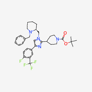 CC(C)(C)OC(=O)N1CCC(c2nc(-c3ccc(F)c(C(F)(F)F)c3)cn2C[C@@H]2CCCCN2Cc2ccccc2)CC1